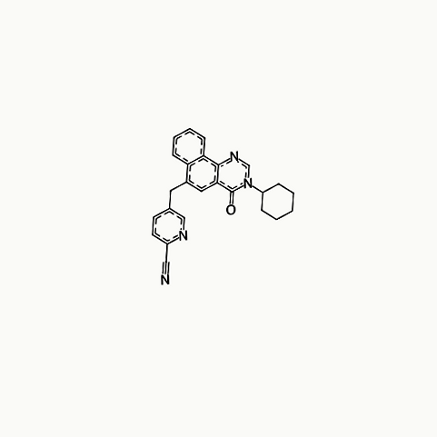 N#Cc1ccc(Cc2cc3c(=O)n(C4CCCCC4)cnc3c3ccccc23)cn1